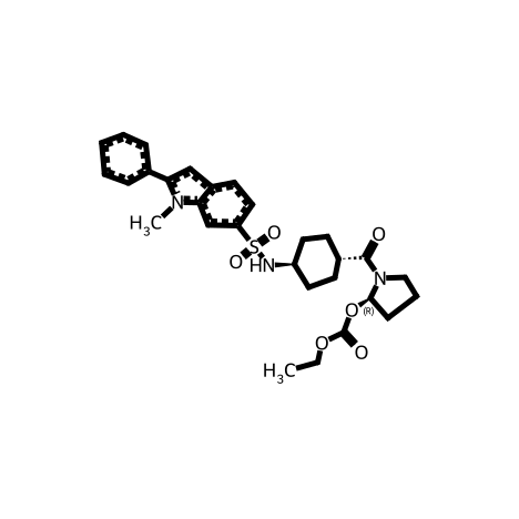 CCOC(=O)O[C@@H]1CCCN1C(=O)[C@H]1CC[C@H](NS(=O)(=O)c2ccc3cc(-c4ccccc4)n(C)c3c2)CC1